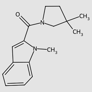 Cn1c(C(=O)N2CCC(C)(C)C2)cc2ccccc21